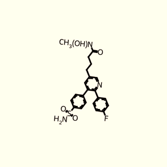 CN(O)C(=O)CCCc1cnc(-c2ccc(F)cc2)c(-c2ccc(S(N)(=O)=O)cc2)c1